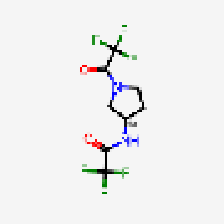 O=C(N[C@@H]1CCN(C(=O)C(F)(F)F)C1)C(F)(F)F